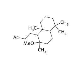 COC1(C)CCC2C(C)(C)CCCC2(C)C1CCC(C)=O